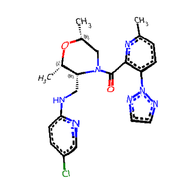 Cc1ccc(-n2nccn2)c(C(=O)N2C[C@@H](C)O[C@@H](C)[C@H]2CNc2ccc(Cl)cn2)n1